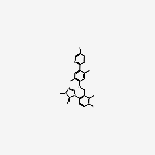 Cc1cc(-c2ccc(F)cn2)c(C)cc1OCc1c(-n2nnn(C)c2=O)ccc(F)c1C